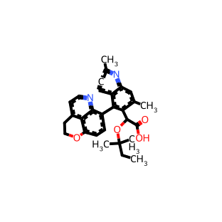 CCC(C)(C)OC(C(=O)O)c1c(C)cc2nc(C)ccc2c1-c1ccc2c3c(ccnc13)CCO2